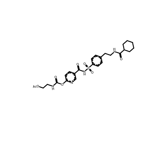 CC(=O)OCCNC(=O)Oc1ccc(C(=O)NS(=O)(=O)c2ccc(CCNC(=O)C3CCCCC3)cc2)cn1